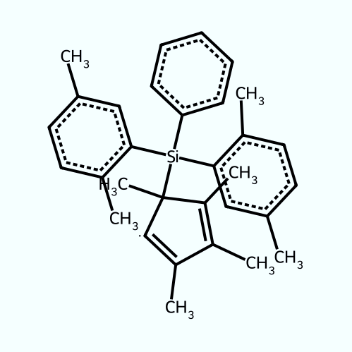 CC1=[C]C(C)([Si](c2ccccc2)(c2cc(C)ccc2C)c2cc(C)ccc2C)C(C)=C1C